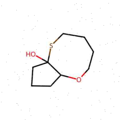 OC12CCCC1OCCCCS2